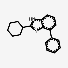 c1ccc(-c2cccc3[nH]c(C4CCCCC4)nc23)cc1